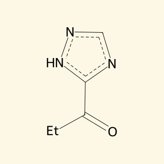 CCC(=O)c1ncn[nH]1